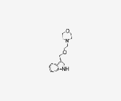 c1ccc2c(COCCN3CCOCC3)c[nH]c2c1